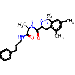 Cc1cc(C)c(C[C@H](N)C(=O)N[C@H](C)C(=O)NCCCc2ccccc2)c(C)c1